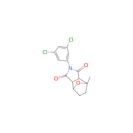 CC12CCC(O1)C1C(=O)N(c3cc(Cl)cc(Cl)c3)C(=O)C12